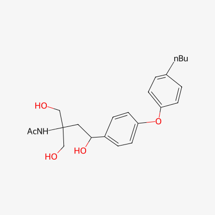 CCCCc1ccc(Oc2ccc(C(O)CC(CO)(CO)NC(C)=O)cc2)cc1